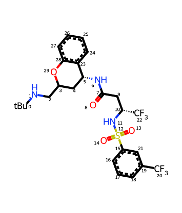 CC(C)(C)NCC1C[C@@H](NC(=O)C[C@@H](NS(=O)(=O)c2cccc(C(F)(F)F)c2)C(F)(F)F)c2ccccc2O1